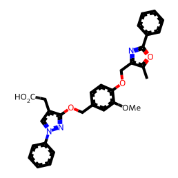 COc1cc(COc2nn(-c3ccccc3)cc2CC(=O)O)ccc1OCc1nc(-c2ccccc2)oc1C